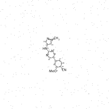 COc1cc(-c2cnc(Nc3cnn(C)c3)nc2)ccc1C#N